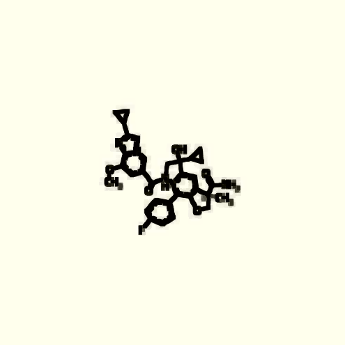 COc1cc(C(=O)NCC(O)(c2cc3c(c(-c4ccc(F)cc4)n2)OC[C@]3(C)C(N)=O)C2CC2)cn2cc(C3CC3)nc12